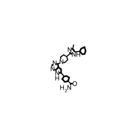 Cc1nc(C2CCN(c3ncnc4[nH]c(-c5ccc(C(N)=O)cc5)cc34)CC2)[nH]c1-c1ccccc1